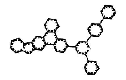 c1ccc(-c2ccc(-c3cc(-c4ccc5c(c4)c4ccccc4c4cc6c(cc54)sc4ccccc46)nc(-c4ccccc4)n3)cc2)cc1